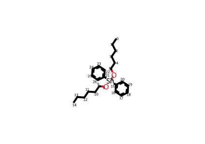 CCCCCC[O][Sn]([O]CCCCCC)([c]1ccccc1)[c]1ccccc1